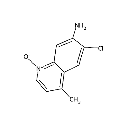 Cc1cc[n+]([O-])c2cc(N)c(Cl)cc12